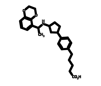 CC(NC1CCC(c2ccc(CCCCC(=O)O)cc2)C1)c1cccc2c1OCCO2